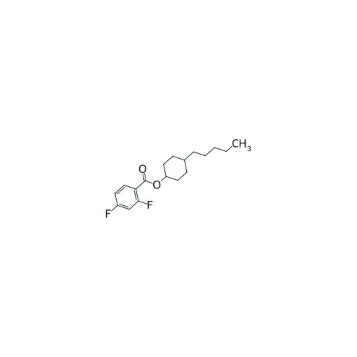 CCCCCC1CCC(OC(=O)c2ccc(F)cc2F)CC1